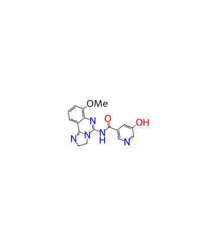 COc1cccc2c1N=C(NC(=O)c1cncc(O)c1)N1CCN=C21